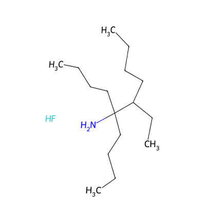 CCCCC(CC)C(N)(CCCC)CCCC.F